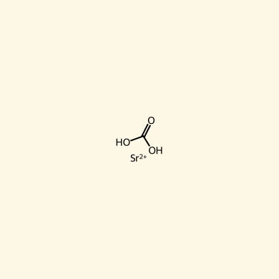 O=C(O)O.[Sr+2]